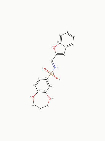 O=S(=O)(/N=C/c1cc2ccccc2o1)c1ccc2c(c1)OCCCO2